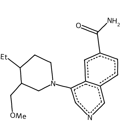 CCC1CCN(c2cncc3ccc(C(N)=O)cc23)CC1COC